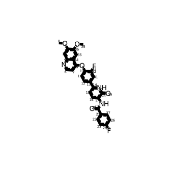 COc1cc2nccc(Oc3ccc(-c4ccc(NC(=O)c5ccc(F)cc5)c(=O)[nH]4)cc3F)c2cc1OC